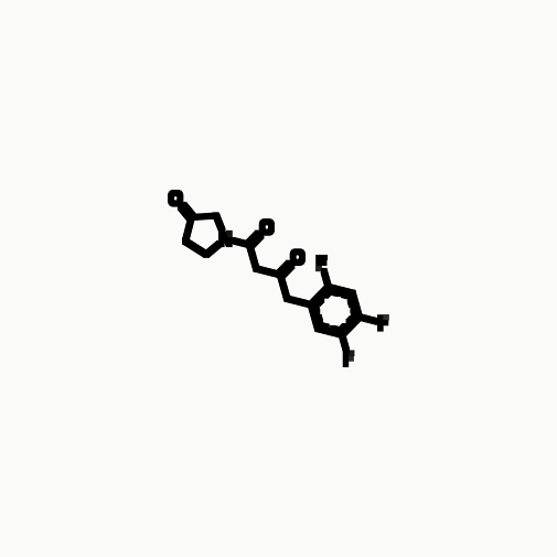 O=C(CC(=O)N1CCC(=O)C1)Cc1cc(F)c(F)cc1F